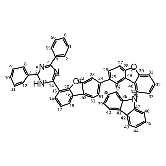 c1ccc(C2=NC(c3ccccc3)NC(c3cccc4c3oc3cc(-c5ccc6oc7cccc(-n8c9ccccc9c9ccccc98)c7c6c5)ccc34)=N2)cc1